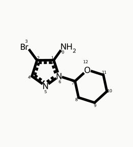 Nc1c(Br)cnn1C1CCCCO1